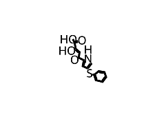 O=C(O)C(O)=CC(=O)c1cc(Sc2ccccc2)c[nH]1